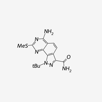 CSc1nc(N)c2ccc3c(C(N)=O)nn(C(C)(C)C)c3c2n1